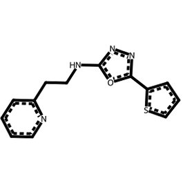 c1ccc(CCNc2nnc(-c3cccs3)o2)nc1